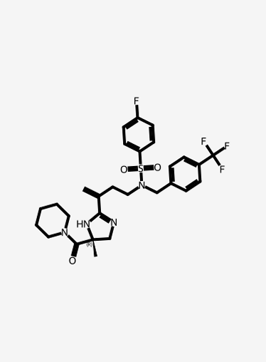 C=C(CCN(Cc1ccc(C(F)(F)F)cc1)S(=O)(=O)c1ccc(F)cc1)C1=NC[C@](C)(C(=O)N2CCCCC2)N1